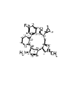 Cn1cc2c(n1)CN(C1CC1)C(=O)c1ccc(F)cc1[C@H]1CCCCN1c1cc-2cnc1N